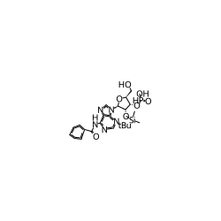 CC(C)(C)[Si](C)(C)O[C@H]1[C@@H](O[PH](=O)O)[C@H](CO)O[C@@H]1n1cnc2c(NC(=O)c3ccccc3)ncnc21